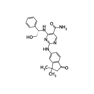 CC1(C)CC(=O)c2ccc(Nc3ncc(C(N)=O)c(N[C@H](CO)c4ccccc4)n3)cc21